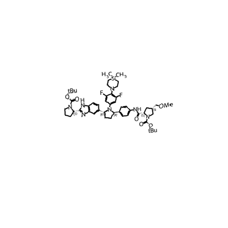 COC[C@H]1C[C@@H](C(=O)Nc2ccc([C@H]3CC[C@H](c4ccc5[nH]c([C@@H]6CCCN6C(=O)OC(C)(C)C)nc5c4)N3c3cc(F)c(N4CC[Si](C)(C)CC4)c(F)c3)cc2)N(C(=O)OC(C)(C)C)C1